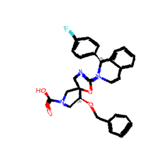 O=C(O)N1C[C@H](OCc2ccccc2)C2(CN=C(N3CCc4ccccc4[C@@H]3c3ccc(F)cc3)O2)C1